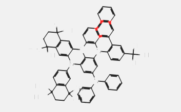 CC(C)(C)c1ccc(N2c3cc(-c4ccccc4)ccc3B3c4cc5c(cc4N(c4ccc6c(c4)C(C)(C)CCC6(C)C)c4cc(N(c6ccccc6)c6ccccc6)cc2c43)C(C)(C)CCC5(C)C)c(-c2ccccc2)c1